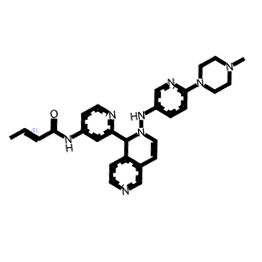 C/C=C/C(=O)Nc1ccnc(C2c3ccncc3C=CN2Nc2ccc(N3CCN(C)CC3)nc2)c1